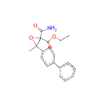 CCOC(=O)C1(C(N)=O)OC1(C)c1ccc(-c2ccccc2)cc1